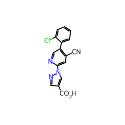 N#Cc1cc(-n2cc(C(=O)O)cn2)ncc1-c1ccccc1Cl